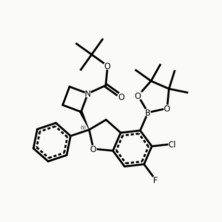 CC(C)(C)OC(=O)N1CCC1[C@@]1(c2ccccc2)Cc2c(cc(F)c(Cl)c2B2OC(C)(C)C(C)(C)O2)O1